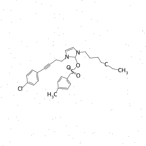 CCCCCCCN1C=CN(CCC#Cc2ccc(Cl)cc2)C1OS(=O)(=O)c1ccc(C)cc1